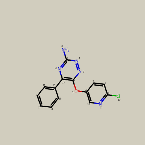 Nc1nnc(Oc2ccc(Cl)nc2)c(-c2ccccc2)n1